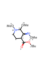 CON=C1C(C(=O)OC(C)(C)C)CCN(OC)C1OC